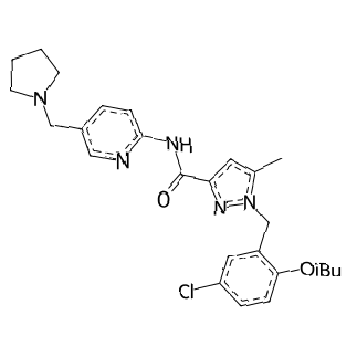 Cc1cc(C(=O)Nc2ccc(CN3CCCC3)cn2)nn1Cc1cc(Cl)ccc1OCC(C)C